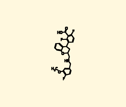 COc1cc(CNCC2CC(c3ccc(F)c(C(=O)O)c3F)c3ccccc3O2)ccc1F